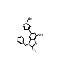 Cc1nc2c(O)cc(-c3cnn(C(C)(C)C)c3)cc2n1Cc1ccccc1